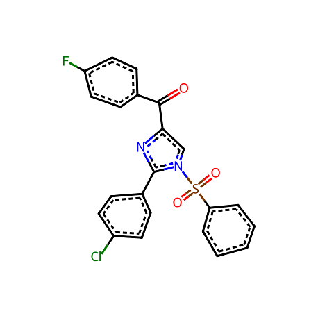 O=C(c1ccc(F)cc1)c1cn(S(=O)(=O)c2ccccc2)c(-c2ccc(Cl)cc2)n1